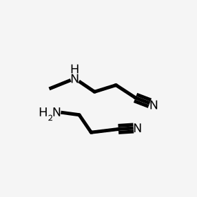 CNCCC#N.N#CCCN